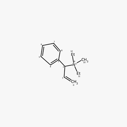 C=CC(c1ccccc1)[N+](C)(CC)CC